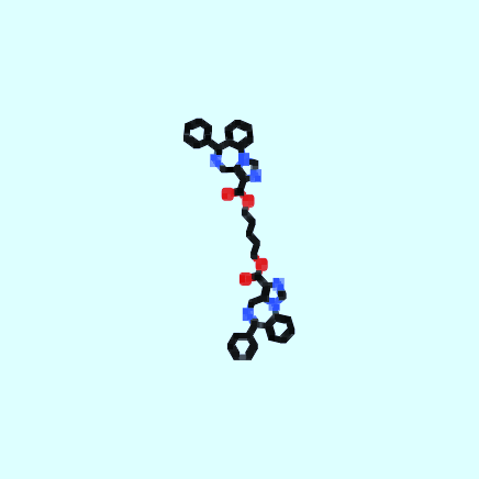 O=C(OCCCCCOC(=O)c1ncn2c1CN=C(c1ccccc1)c1ccccc1-2)c1ncn2c1CN=C(c1ccccc1)c1ccccc1-2